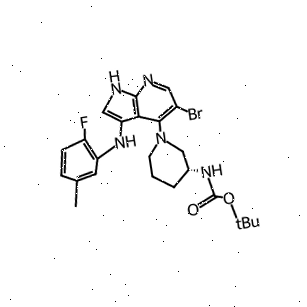 Cc1ccc(F)c(Nc2c[nH]c3ncc(Br)c(N4CCC[C@@H](NC(=O)OC(C)(C)C)C4)c23)c1